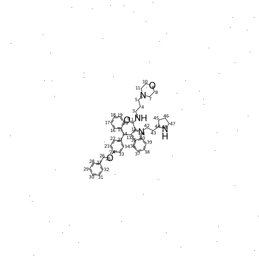 O=C(NCCCN1CCOCC1)c1c(C(c2ccccc2)c2ccc(OCc3ccccc3)cc2)c2ccccc2n1CCC1CCCN1